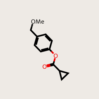 COCc1ccc(OC(=O)C2CC2)cc1